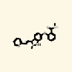 CNC(=O)c1ccccc1Sc1ccc2c(c1)NN(C)C2/C=C/c1ccccn1